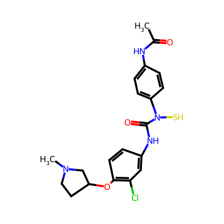 CC(=O)Nc1ccc(N(S)C(=O)Nc2ccc(OC3CCN(C)C3)c(Cl)c2)cc1